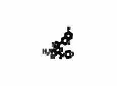 CC(c1nc2c(C3C=Nc4ccc(F)cc4C3)cnn2c(N)c1Br)N1CCOCC1